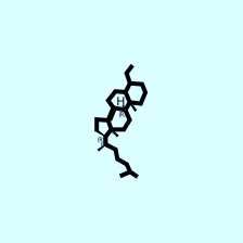 CCC1CCC[C@@]2(C)C1CCC1=C3CC[C@H]([C@H](C)CCCC(C)C)[C@@]3(C)CC[C@@H]12